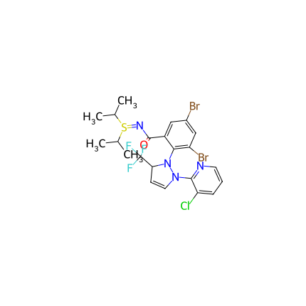 CC(C)S(=NC(=O)c1cc(Br)cc(Br)c1N1C(C(F)(F)F)C=CN1c1ncccc1Cl)C(C)C